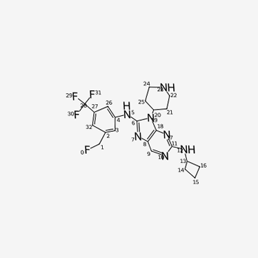 FCc1cc(Nc2nc3cnc(NC4CCC4)nc3n2C2CCNCC2)cc(C(F)(F)F)c1